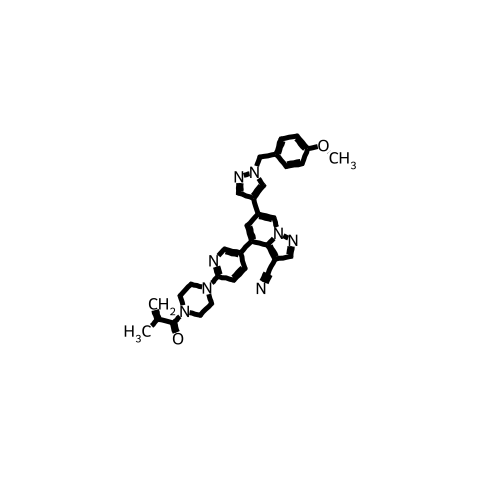 C=C(C)C(=O)N1CCN(c2ccc(-c3cc(-c4cnn(Cc5ccc(OC)cc5)c4)cn4ncc(C#N)c34)cn2)CC1